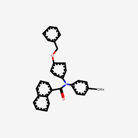 COc1ccc(N(C(=O)c2cccc3ccccc23)c2ccc(OCc3ccccc3)cc2)cc1